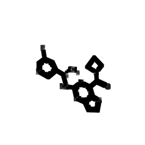 C[C@H](Nc1nc(C(=O)N2CCC2)c2sccc2n1)c1cncc(F)c1